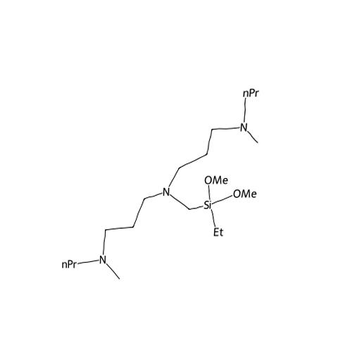 CCCN(C)CCCN(CCCN(C)CCC)C[Si](CC)(OC)OC